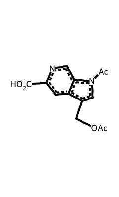 CC(=O)OCc1cn(C(C)=O)c2cnc(C(=O)O)cc12